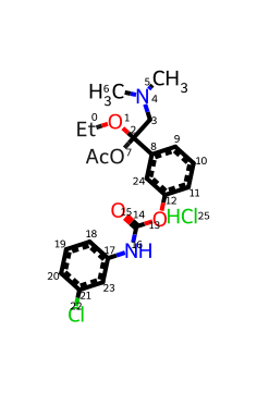 CCOC(CN(C)C)(OC(C)=O)c1cccc(OC(=O)Nc2cccc(Cl)c2)c1.Cl